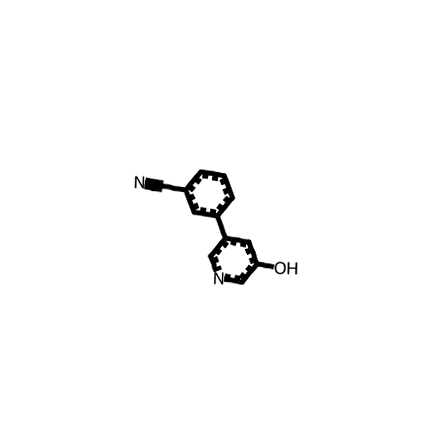 N#Cc1cccc(-c2cncc(O)c2)c1